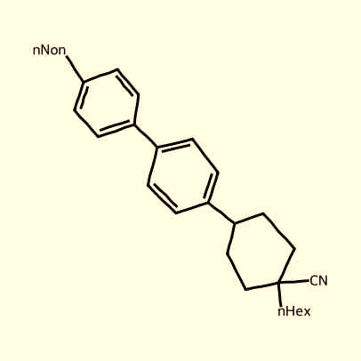 CCCCCCCCCc1ccc(-c2ccc(C3CCC(C#N)(CCCCCC)CC3)cc2)cc1